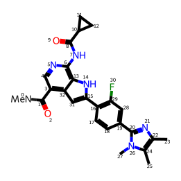 CNC(=O)c1cnc(NC(=O)C2CC2)c2[nH]c(-c3ccc(-c4nc(C)c(C)n4C)cc3F)cc12